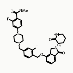 CNC(=O)c1ccc(N2CCN(Cc3ccc(COc4cccc5c4CN([C@H]4CCCNC4=O)C5=O)c(F)c3)CC2)cc1F